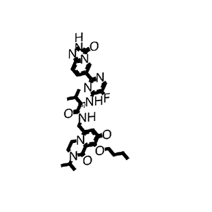 CCCCOc1c2n(c(CNC(=O)[C@@H](Nc3nc(-c4ccc5n[nH]c(=O)n5c4)ncc3F)C(C)C)cc1=O)CCN(C(C)C)C2=O